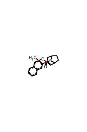 CCOC(=O)N1C2C=C(c3ccc4ccccc4c3)CC1CC2